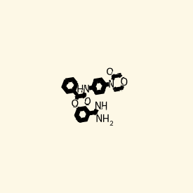 N=C(N)c1cccc(OC(C(=O)Nc2ccc(N3CCOCC3=O)cc2)c2ccccc2)c1